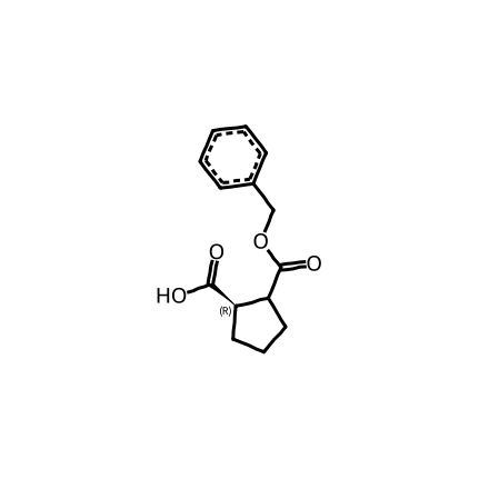 O=C(OCc1ccccc1)C1CCC[C@H]1C(=O)O